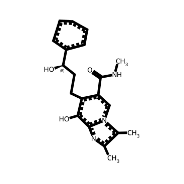 CNC(=O)c1cn2c(C)c(C)nc2c(O)c1CC[C@@H](O)c1ccccc1